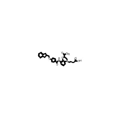 O=C(O)CCCN1CC(C(=O)O)Oc2c(NC(=O)c3ccc(OCC4Cc5ccccc5C4)cc3)cccc21